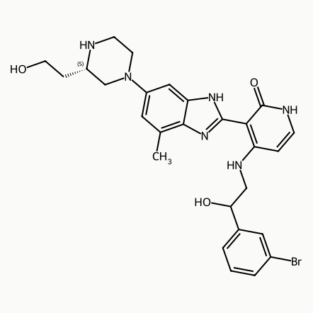 Cc1cc(N2CCN[C@@H](CCO)C2)cc2[nH]c(-c3c(NCC(O)c4cccc(Br)c4)cc[nH]c3=O)nc12